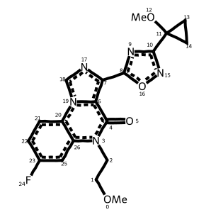 COCCn1c(=O)c2c(-c3nc(C4(OC)CC4)no3)ncn2c2ccc(F)cc21